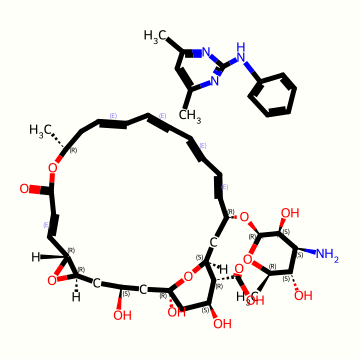 C[C@@H]1C/C=C/C=C/C=C/C=C/[C@H](O[C@@H]2O[C@H](C)[C@@H](O)[C@H](N)[C@@H]2O)C[C@@H]2O[C@](O)(C[C@@H](O)C[C@H]3O[C@@H]3/C=C/C(=O)O1)C[C@H](O)[C@H]2C(=O)O.Cc1cc(C)nc(Nc2ccccc2)n1